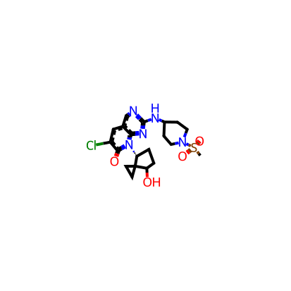 CS(=O)(=O)N1CCC(Nc2ncc3cc(Cl)c(=O)n([C@@H]4CCC(O)C45CC5)c3n2)CC1